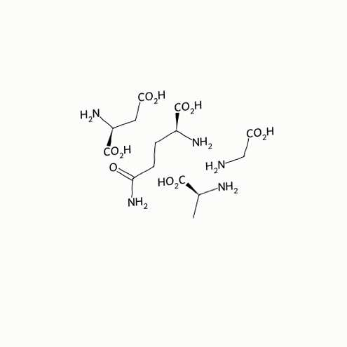 C[C@H](N)C(=O)O.NC(=O)CC[C@H](N)C(=O)O.NCC(=O)O.N[C@@H](CC(=O)O)C(=O)O